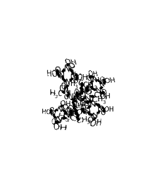 CC(C)CN(CC(=O)NCC(CNC(=O)CN(CC(C)C)C(=O)CN1CCN(CC(=O)O)CCN(CC(=O)O)CCN(CC(=O)O)CC1)(CNC(=O)CN(CC(C)C)C(=O)CN1CCN(CC(=O)O)CCN(CC(=O)O)CCN(CC(=O)O)CC1)CNC(=O)CN(CC(C)C)C(=O)CN1CCN(CC(=O)O)CCN(CC(O)O)CCN(CC(=O)O)CC1)C(=O)CN1CCN(CC(=O)O)CCN(CC(=O)O)CCN(CC(=O)O)CC1